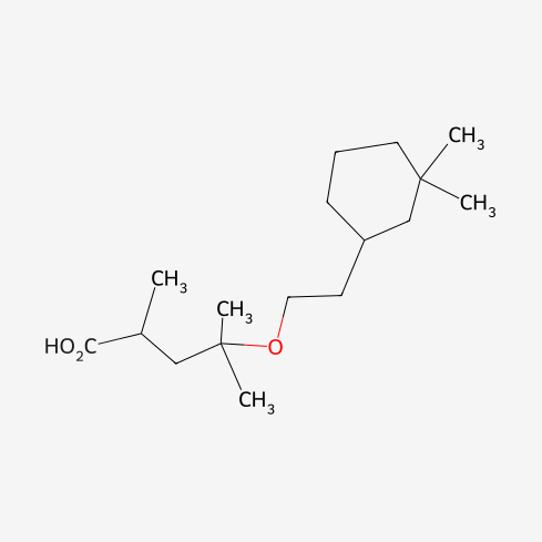 CC(CC(C)(C)OCCC1CCCC(C)(C)C1)C(=O)O